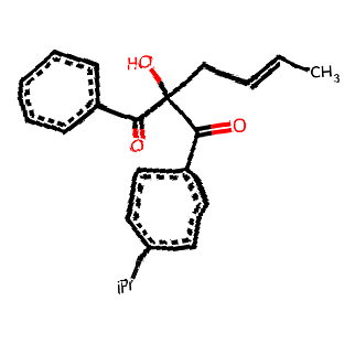 CC=CCC(O)(C(=O)c1ccccc1)C(=O)c1ccc(C(C)C)cc1